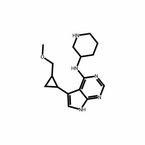 COCC1CC1c1c[nH]c2ncnc(NC3CCCNC3)c12